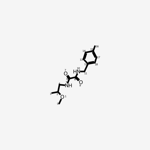 COC(C)CNC(=O)C(=O)NCc1ccc(C)cc1